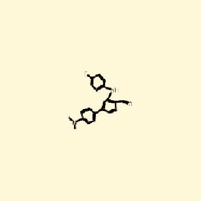 CN(C)c1ccc(-c2ccc(C=O)c(Nc3ccc(F)cc3)c2)cc1